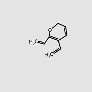 C=CC1=C(C=C)OCC=C1